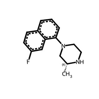 C[C@@H]1CN(c2cccc3ccc(F)cc23)CCN1